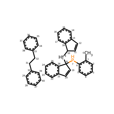 Cc1ccccc1P[C]1([Hf][CH]2C=Cc3ccccc32)C=Cc2ccccc21.c1ccc(CCc2ccccc2)cc1